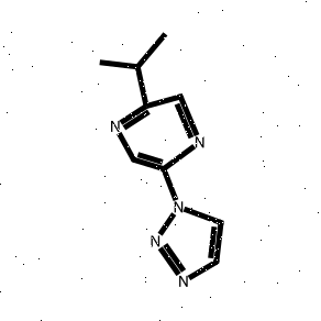 CC(C)c1cnc(-n2ccnn2)cn1